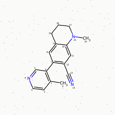 Cc1ccncc1-c1cc2c(cc1C#N)N(C)CCC2